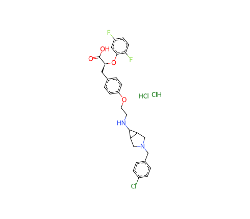 Cl.Cl.O=C(O)[C@H](Cc1ccc(OCCNC2C3CN(Cc4ccc(Cl)cc4)CC32)cc1)Oc1cc(F)ccc1F